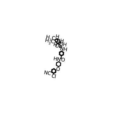 CC1(C)[C@@H]2C[C@H]1[C@](O)(CCNc1ccc(C(=O)N[C@H]3CC[C@H](Oc4ccc(C#N)c(Cl)c4)CC3)cc1)[C@@H](O)C2